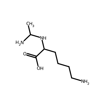 CC(N)NC(CCCCN)C(=O)O